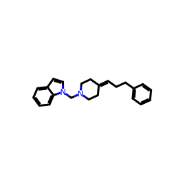 C(CCc1ccccc1)=C1CCN(Cn2ccc3ccccc32)CC1